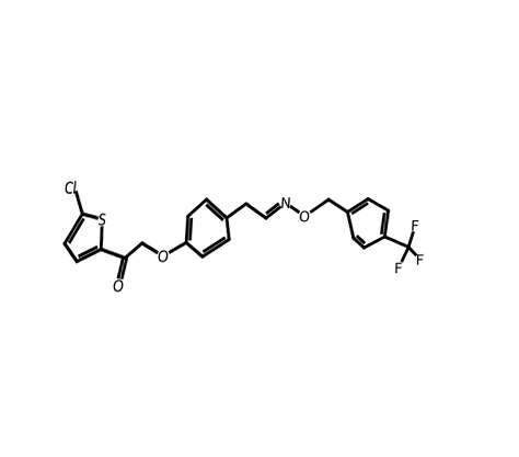 O=C(COc1ccc(CC=NOCc2ccc(C(F)(F)F)cc2)cc1)c1ccc(Cl)s1